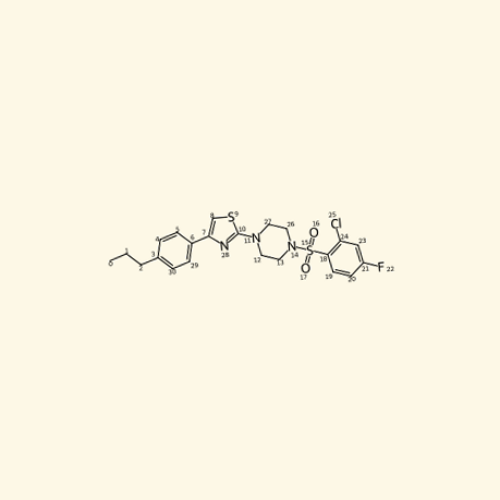 CCCc1ccc(-c2csc(N3CCN(S(=O)(=O)c4ccc(F)cc4Cl)CC3)n2)cc1